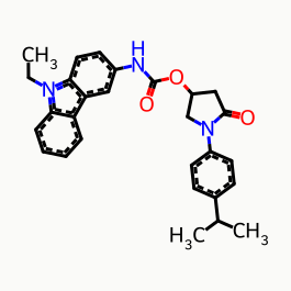 CCn1c2ccccc2c2cc(NC(=O)OC3CC(=O)N(c4ccc(C(C)C)cc4)C3)ccc21